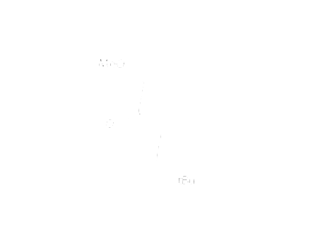 COCC(=O)CCC(C)(C)C